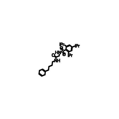 CC(C)c1cc(C(C)C)c(S(=O)(=O)NCC(=O)NCCCCC2=CCC=CC2)c(C(C)C)c1